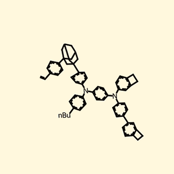 C=Cc1ccc(C23CC4CC(C2)CC(c2ccc(N(c5ccc(CCCC)cc5)c5ccc(N(c6ccc(-c7ccc8c(c7)CC8)cc6)c6ccc7c(c6)CC7)cc5)cc2)(C4)C3)cc1